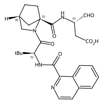 CC(C)(C)[C@H](NC(=O)c1nccc2ccccc12)C(=O)N1C[C@@H]2CC[C@@]1(C(=O)N[C@H](C=O)CC(=O)O)C2